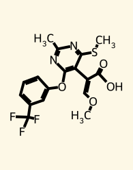 COC=C(C(=O)O)c1c(Oc2cccc(C(F)(F)F)c2)nc(C)nc1SC